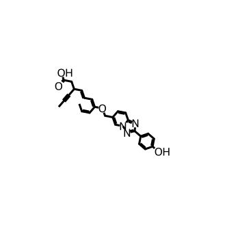 CC#CC(/C=C/C=C(\C=C/C)OCc1ccc2nc(-c3ccc(O)cc3)nn2c1)CC(=O)O